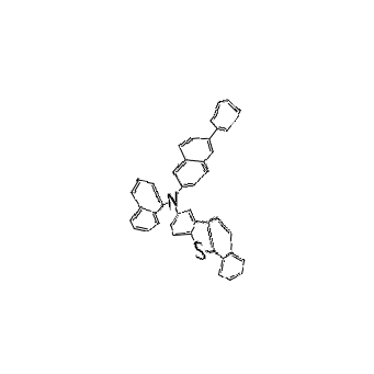 c1ccc(-c2ccc3cc(N(c4ccc5sc6c7ccccc7ccc6c5c4)c4cccc5ccccc45)ccc3c2)cc1